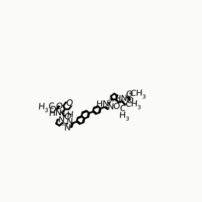 COC(=O)N[C@H](C(=O)C1CCC[C@H]1c1ncc(-c2ccc(-c3ccc4cc(-c5cnc([C@@H]6CCCN6C(=O)[C@@H](NC(=O)OC)C6CCOCC6)[nH]5)ccc4c3)cc2)[nH]1)C(C)C